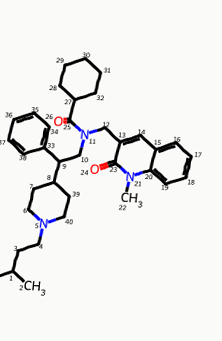 CC(C)CCN1CCC(C(CN(Cc2cc3ccccc3n(C)c2=O)C(=O)C2CCCCC2)c2ccccc2)CC1